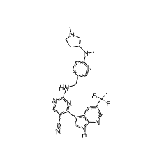 CN1CCC(N(C)c2ccc(CNc3ncc(C#N)c(-c4c[nH]c5ncc(C(F)(F)F)cc45)n3)cn2)C1